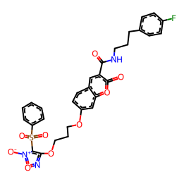 O=C(NCCCc1ccc(F)cc1)c1cc2ccc(OCCCOc3no[n+]([O-])c3S(=O)(=O)c3ccccc3)cc2oc1=O